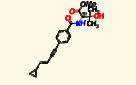 COC(=O)[C@@H](NC(=O)c1ccc(C#CC=CC2CC2)cc1)C(C)(C)O